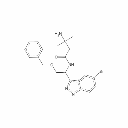 CC(C)(N)CC(=O)N[C@H](COCc1ccccc1)c1nnc2ccc(Br)cn12